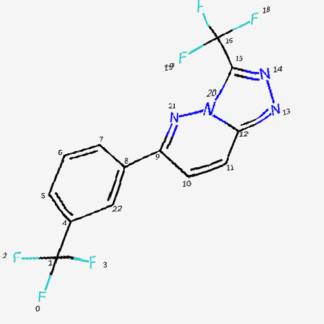 FC(F)(F)c1cccc(-c2ccc3nnc(C(F)(F)F)n3n2)c1